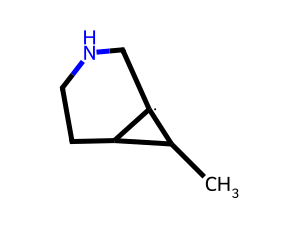 CC1[C]2CNCCC21